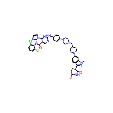 Cn1nc(C2CCC(=O)NC2=O)c2ccc(N3CCC(CN4CCN(c5ccc(Nc6ncc7c(=O)n(-c8c(Cl)cccc8Cl)c8nccn8c7n6)cc5)CC4)CC3)cc21